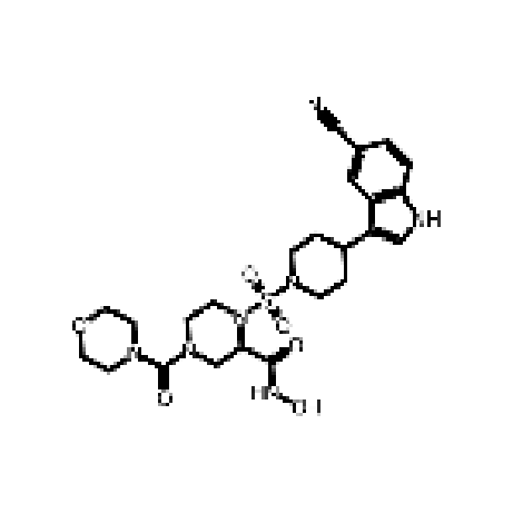 N#Cc1ccc2[nH]cc(C3CCN(S(=O)(=O)N4CCN(C(=O)N5CCOCC5)CC4C(=O)NO)CC3)c2c1